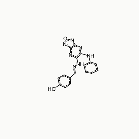 Oc1ccc(C=NNc2nc3nonc3nc2Nc2ccccc2)cc1